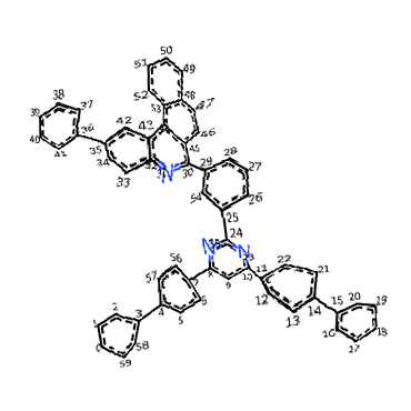 c1ccc(-c2ccc(-c3cc(-c4ccc(-c5ccccc5)cc4)nc(-c4cccc(-c5nc6ccc(-c7ccccc7)cc6c6c5ccc5ccccc56)c4)n3)cc2)cc1